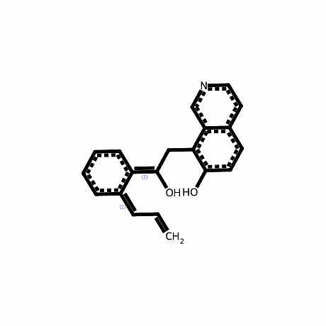 C=C/C=c1/cccc/c1=C(/O)Cc1c(O)ccc2ccncc12